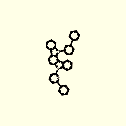 c1ccc(-c2cccc(-n3c4ccccc4c4ccc5c(c6ccccc6n5-c5cccc(-c6ccccc6)n5)c43)c2)cc1